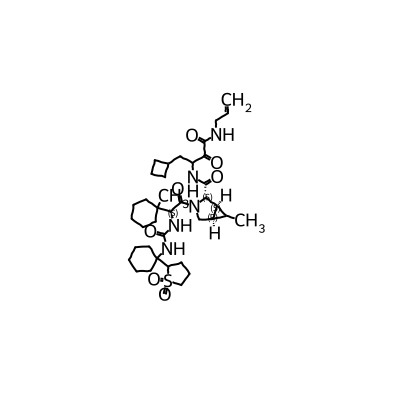 C=CCNC(=O)C(=O)C(CC1CCC1)NC(=O)[C@@H]1[C@H]2C(C)[C@H]2CN1C(=O)[C@@H](NC(=O)NC1(C2CCCS2(=O)=O)CCCCC1)C1(C)CCCCC1